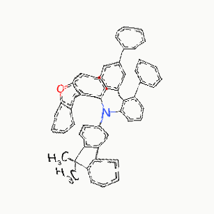 CC1(C)c2ccccc2-c2cc(N(c3cccc(-c4ccccc4)c3-c3cccc(-c4ccccc4)c3)c3cccc4oc5ccccc5c34)ccc21